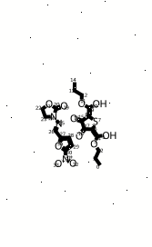 CCCO/C(O)=C1/S/C(=C(\O)OCCC)C(=O)C1=O.O=C1OCCN1/N=C/c1ccc([N+](=O)[O-])o1